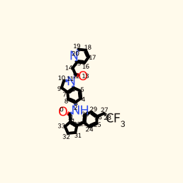 O=C(Nc1ccc2c(c1)CCN2C(=O)Cc1ccccn1)C1=C(c2ccc(CC(F)(F)F)cc2)CCC1